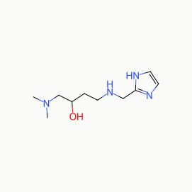 CN(C)CC(O)CCNCc1ncc[nH]1